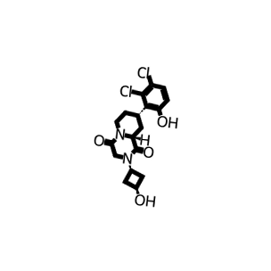 O=C1CN([C@H]2C[C@H](O)C2)C(=O)[C@H]2C[C@@H](c3c(O)ccc(Cl)c3Cl)CCN12